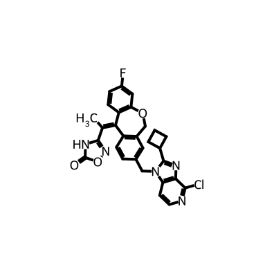 C/C(=C1/c2ccc(Cn3c(C4CCC4)nc4c(Cl)nccc43)cc2COc2cc(F)ccc21)c1noc(=O)[nH]1